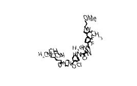 COCCCn1cc(-c2ccc(-c3cnc(C(=O)Nc4ccc(C(=O)N5CCN(C(=O)CC[C@@H](O)CN(C)C)CC5)c(Cl)c4)n3C)c(F)c2F)c(C)n1